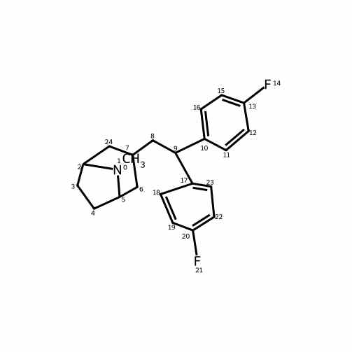 CN1C2CCC1CC(CC(c1ccc(F)cc1)c1ccc(F)cc1)C2